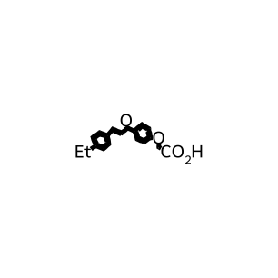 CCc1ccc(/C=C/C(=O)c2ccc(OCC(=O)O)cc2)cc1